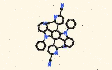 N#Cc1ccc(-c2c3c4ccccc4n(-c4ccccc4)c3c(-c3ccc(C#N)nc3C#N)c3c4ccccc4n(-c4ccccc4)c23)c(C#N)n1